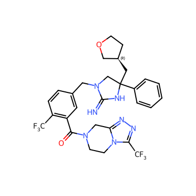 N=C1NC(C[C@@H]2CCOC2)(c2ccccc2)CN1Cc1ccc(C(F)(F)F)c(C(=O)N2CCn3c(nnc3C(F)(F)F)C2)c1